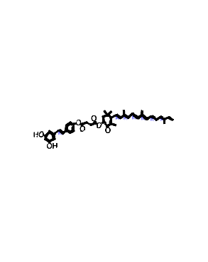 C=C/C(C)=C/C=C/C=C(C)/C=C/C=C(C)/C=C/C1=C(C)C(=O)C(OC(=O)CCC(=O)Oc2ccc(/C=C/c3cc(O)cc(O)c3)cc2)CC1(C)C